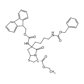 CCOC(=O)[C@@H]1CSC2CC(CCCCNC(=O)OCc3ccccc3)(NC(=O)OCC3c4ccccc4-c4ccccc43)C(=O)N21